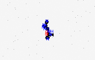 Cc1ncccc1-c1c(C)n(C2CC2)cc(C(=O)Nc2ccc(-c3cc(C4CCN(C)CC4)n4ncnc(N)c34)cc2)c1=O